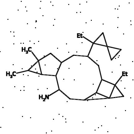 CCC1(C2CC3CC4(C)C(C)C4C3C(N)CC3C4C(C2)C2(CC)CC342)CC12CC2